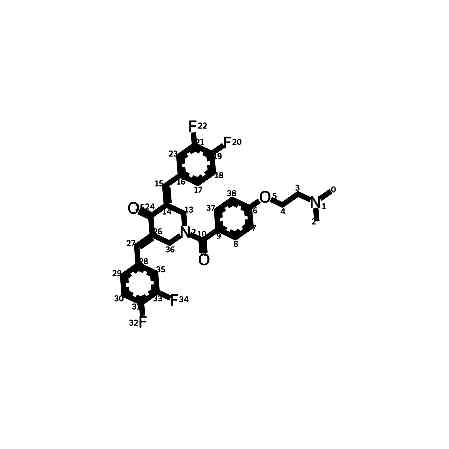 CN(C)CCOc1ccc(C(=O)N2C/C(=C\c3ccc(F)c(F)c3)C(=O)/C(=C/c3ccc(F)c(F)c3)C2)cc1